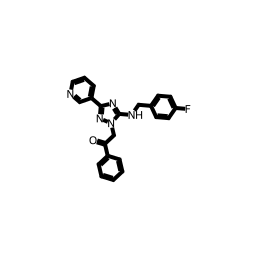 O=C(Cn1nc(-c2cccnc2)nc1NCc1ccc(F)cc1)c1ccccc1